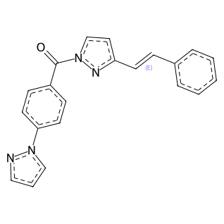 O=C(c1ccc(-n2cccn2)cc1)n1ccc(/C=C/c2ccccc2)n1